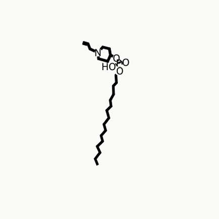 C=CCN1CCC(OP(=O)(O)OCCCCCCCCCCCCCCCC)CC1